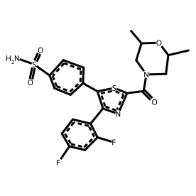 CC1CN(C(=O)c2nc(-c3ccc(F)cc3F)c(-c3ccc(S(N)(=O)=O)cc3)s2)CC(C)O1